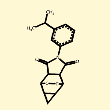 CC(C)c1cccc(N2C(=O)C3C4CCC(C5CC54)C3C2=O)c1